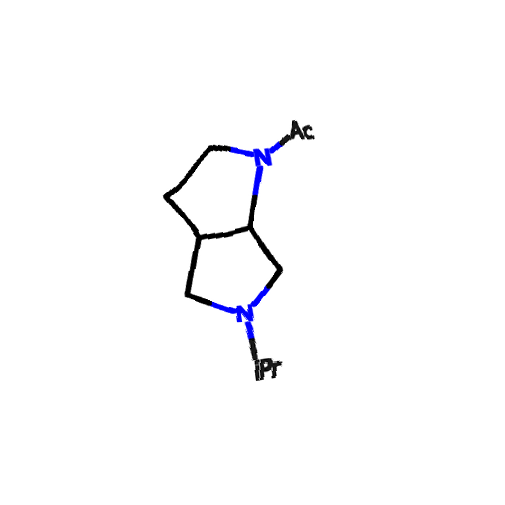 CC(=O)N1CCC2CN(C(C)C)CC21